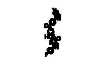 CN1Cc2cnn(-c3ccc(C(=O)N4CCC(O)(Cn5cnc6c(cnn6-c6ccc(F)cc6)c5=O)CC4)cc3)c2C1